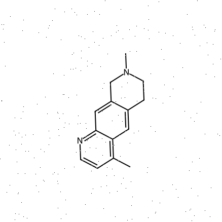 Cc1ccnc2cc3c(cc12)CCN(C)C3